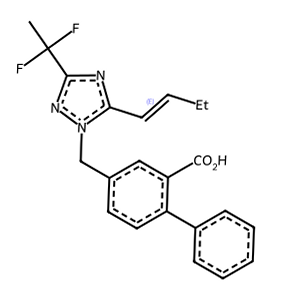 CC/C=C/c1nc(C(C)(F)F)nn1Cc1ccc(-c2ccccc2)c(C(=O)O)c1